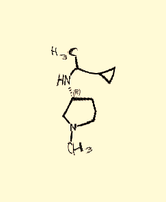 CC(N[C@@H]1CCN(C)C1)C1CC1